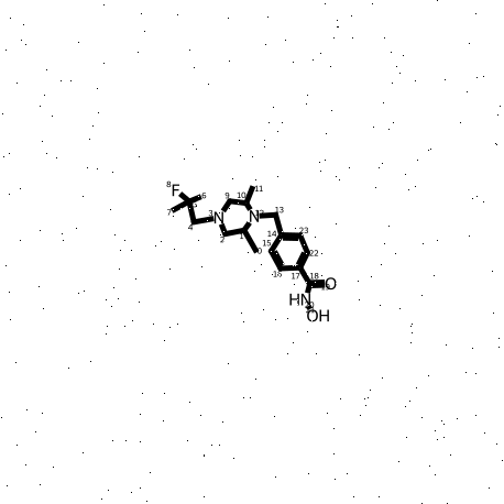 CC1CN(CC(C)(C)F)CC(C)N1Cc1ccc(C(=O)NO)cc1